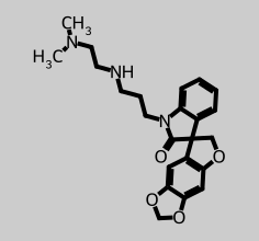 CN(C)CCNCCCN1C(=O)C2(COc3cc4c(cc32)OCO4)c2ccccc21